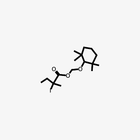 CCC(C)(I)C(=O)OCOC1C(C)(C)CCCC1(C)C